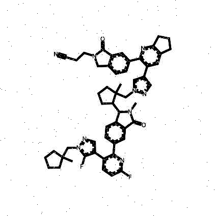 CN1C(=O)c2cc(-c3nc(F)ccc3-c3cnn(CC4(C)CCCC4)c3F)ccc2C1C1CCCC1(C)Cn1cc(-c2cc3c(nc2-c2ccc4c(c2)C(=O)N(CCC#N)C4)CCC3)cn1